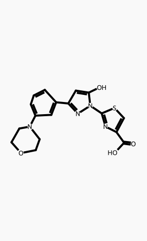 O=C(O)c1csc(-n2nc(-c3cccc(N4CCOCC4)c3)cc2O)n1